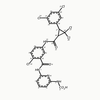 O=C(O)Nc1cccc(NC(=O)c2cc(NC(=O)C3C(c4cc(Cl)cc(Cl)c4)C3(Cl)Cl)ccc2Cl)n1